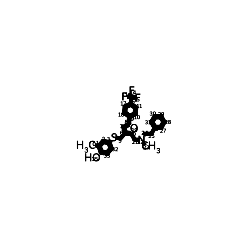 Cc1cc(SCc2cc(-c3ccc(C(F)(F)F)cc3)oc2CN(C)CCc2ccccc2)ccc1O